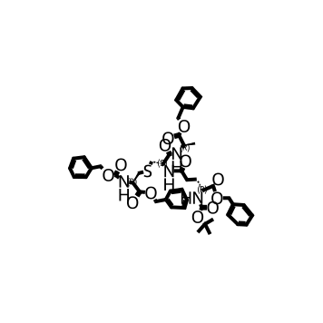 C[C@@H](NC(=O)[C@@H](CSC[C@H](NC(=O)OCc1ccccc1)C(=O)OCc1ccccc1)NC(=O)CC[C@@H](NC(=O)OC(C)(C)C)C(=O)OCc1ccccc1)C(=O)OCc1ccccc1